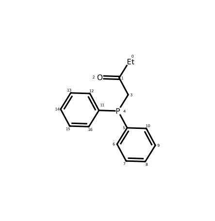 CCC(=O)CP(c1ccccc1)c1ccccc1